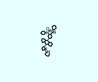 O=c1n(-c2ccccc2)c2cc(-c3c4ccccc4c(-c4cccc(-c5ccccn5)n4)c4ccccc34)ccc2c2nc3ccccc3n12